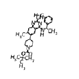 Cc1cccc([C@@H](C)Nc2nc(C)nc3cc(C)c(C4CCN(C(=O)OC(C)(C)C)CC4)cc23)c1